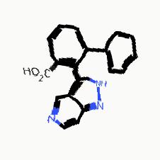 O=C(O)c1cccc(-c2ccccc2)c1-c1[nH]nc2ccncc12